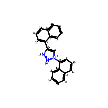 c1ccc2c(-c3cn(-c4cccc5ccccc45)nn3)cccc2c1